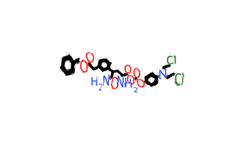 NC(=O)C(C[C@H](N)C(=O)OC(=O)Oc1ccc(N(CCCl)CCCl)cc1)c1cccc(CC(=O)OCc2ccccc2)c1